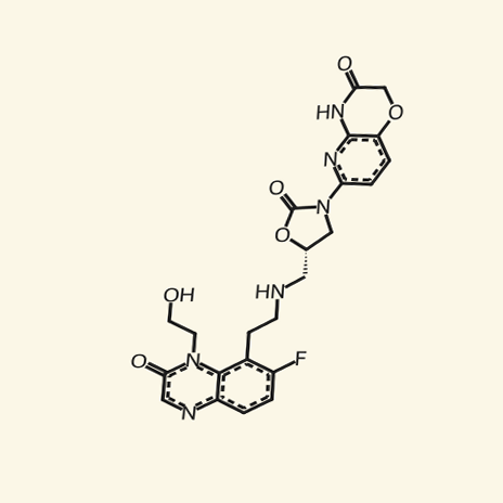 O=C1COc2ccc(N3C[C@H](CNCCc4c(F)ccc5ncc(=O)n(CCO)c45)OC3=O)nc2N1